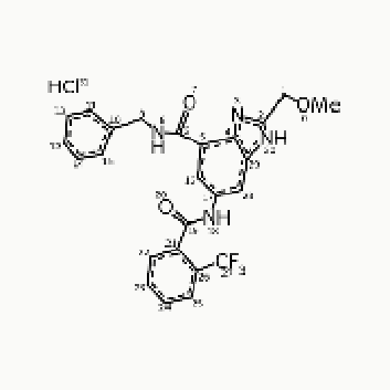 COCc1nc2c(C(=O)NCc3ccccc3)cc(NC(=O)c3ccccc3C(F)(F)F)cc2[nH]1.Cl